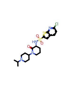 CC(C)N1CCC(N2CCC[C@H](NS(=O)(=O)c3cc4ccc(Cl)nc4s3)C2=O)CC1